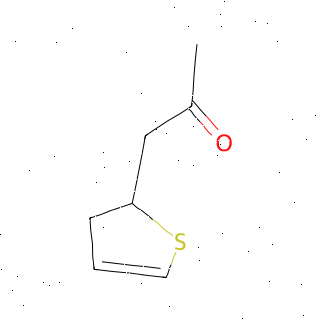 CC(=O)CC1CC=CS1